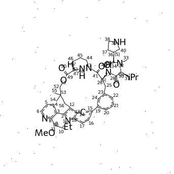 CCn1c(-c2cccnc2[C@H](C)OC)c2c3cc(ccc31)-c1cccc(c1)C[C@H](NC(=O)[C@H](C(C)C)N(C)C(=O)[C@H]1CCNC1)C(=O)N1CCC[C@H](N1)C(=O)OCC(C)(C)C2